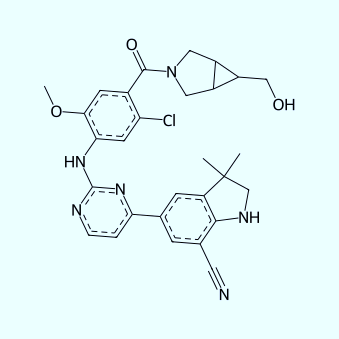 COc1cc(C(=O)N2CC3C(CO)C3C2)c(Cl)cc1Nc1nccc(-c2cc(C#N)c3c(c2)C(C)(C)CN3)n1